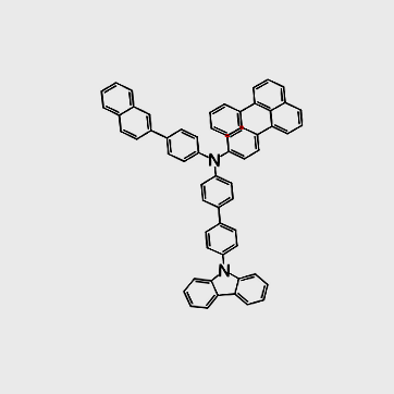 c1ccc(-c2cccc3cccc(-c4ccc(N(c5ccc(-c6ccc(-n7c8ccccc8c8ccccc87)cc6)cc5)c5ccc(-c6ccc7ccccc7c6)cc5)cc4)c23)cc1